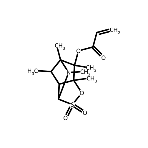 C=CC(=O)OC1(C)C2(C)OS(=O)(=O)C3C2C(C)C1(C)N3C